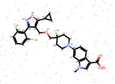 Cn1cc(C(=O)O)c2ccc(N3CCC(F)(COCc4c(-c5c(F)cccc5F)noc4C4CC4)CC3)cc21